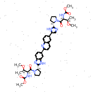 COC(=O)N[C@H](C(=O)N1CCC[C@H]1c1ncc(-c2ccc3nc(-c4ccc5nc([C@@H]6CCCN6C(=O)[C@@H](NC(=O)OC)[C@@H](C)OC)[nH]c5c4)ccc3c2)[nH]1)[C@@H](C)OC